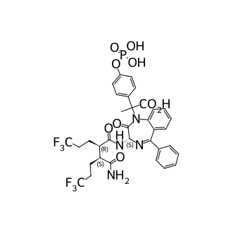 CC(C(=O)O)(c1ccc(OP(=O)(O)O)cc1)N1C(=O)[C@@H](NC(=O)[C@H](CCC(F)(F)F)[C@H](CCC(F)(F)F)C(N)=O)N=C(c2ccccc2)c2ccccc21